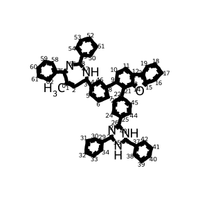 CC1=CC(c2cccc(-c3ccc4c(oc5ccccc54)c3-c3ccc(C4=NC(c5ccccc5)NC(c5ccccc5)N4)cc3)c2)NC(c2ccccc2)N=C1c1ccccc1